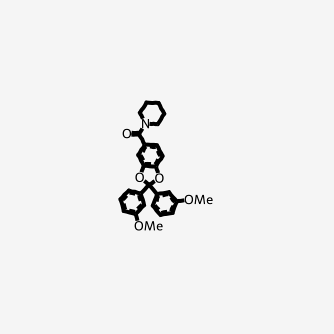 COc1cccc(C2(c3cccc(OC)c3)Oc3ccc(C(=O)N4CCCCC4)cc3O2)c1